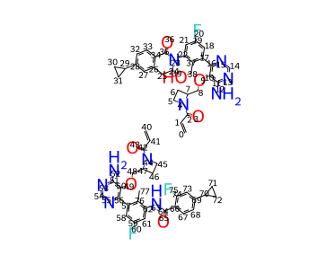 C=CC(=O)N1CCC1COc1c(N)ncnc1-c1cc(F)cc(N2CCc3cc(C4CC4)ccc3C2=O)c1CO.C=CC(=O)N1CCC1COc1c(N)ncnc1-c1cc(F)cc(NC(=O)c2ccc(C3CC3)cc2F)c1C